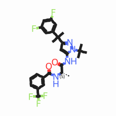 C[C@H](NC(=O)c1cccc(C(F)(F)F)c1)C(=O)Nc1cc(C(C)(C)c2cc(F)cc(F)c2)nn1C(C)(C)C